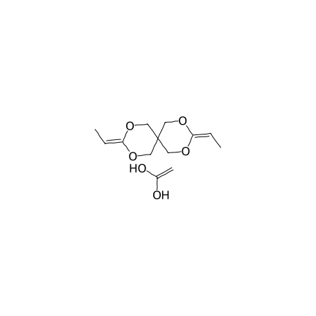 C=C(O)O.CC=C1OCC2(CO1)COC(=CC)OC2